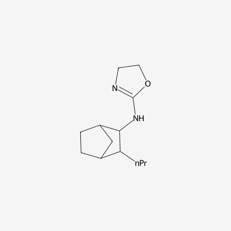 CCCC1C2CCC(C2)C1NC1=NCCO1